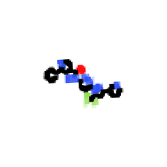 O=C(Nc1ccc(-n2nc(-c3cccnc3)cc2C(F)(F)F)nn1)c1ccnc(-c2ccccc2)c1